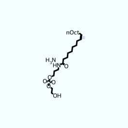 CCCCCCCC/C=C\CCCCCCCC(=O)NCCCOS(=O)(=O)OCCO.N